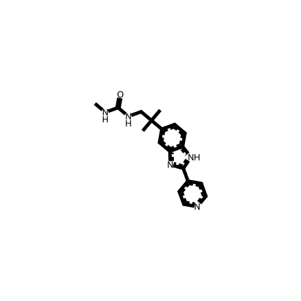 CNC(=O)NCC(C)(C)c1ccc2[nH]c(-c3ccncc3)nc2c1